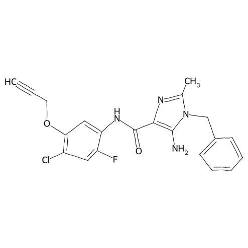 C#CCOc1cc(NC(=O)c2nc(C)n(Cc3ccccc3)c2N)c(F)cc1Cl